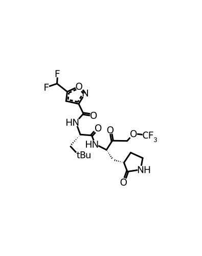 CC(C)(C)C[C@H](NC(=O)c1cc(C(F)F)on1)C(=O)N[C@@H](C[C@@H]1CCNC1=O)C(=O)COC(F)(F)F